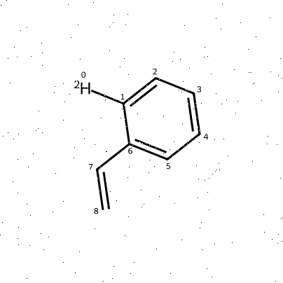 [2H]c1ccccc1C=C